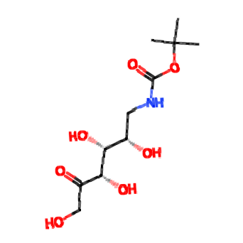 CC(C)(C)OC(=O)NC[C@H](O)[C@@H](O)[C@H](O)C(=O)CO